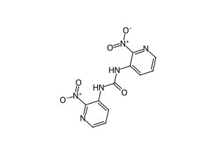 O=C(Nc1cccnc1[N+](=O)[O-])Nc1cccnc1[N+](=O)[O-]